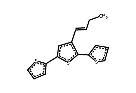 CC/C=C/c1cc(-c2cccs2)sc1-c1cccs1